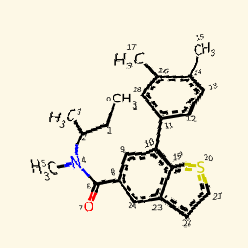 CCC(C)N(C)C(=O)c1cc(-c2ccc(C)c(C)c2)c2sccc2c1